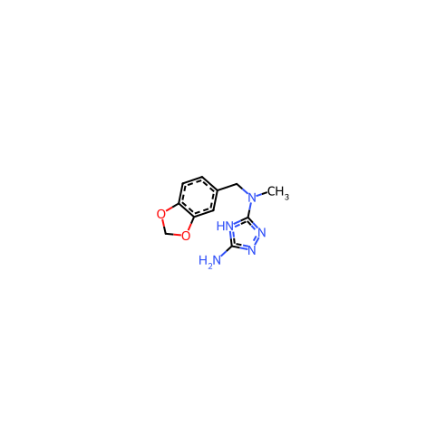 CN(Cc1ccc2c(c1)OCO2)c1nnc(N)[nH]1